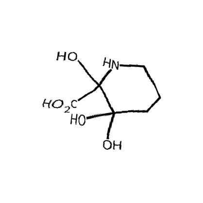 O=C(O)C1(O)NCCCC1(O)O